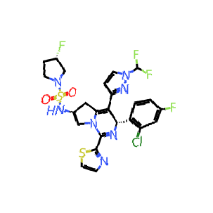 O=S(=O)(N[C@H]1CC2=C(c3ccn(C(F)F)n3)[C@H](c3ccc(F)cc3Cl)N=C(c3nccs3)N2C1)N1CC[C@H](F)C1